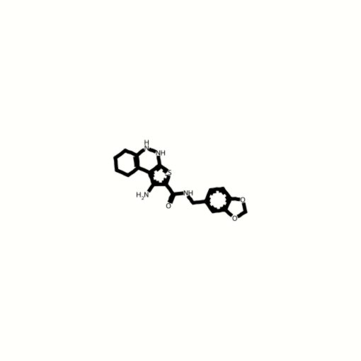 Nc1c(C(=O)NCc2ccc3c(c2)OCO3)sc2c1C1=C(CCCC1)NN2